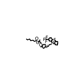 CCCCCCC(=O)OC(C)COC1(C)CCN(CCCN2c3ccccc3Sc3ccc(C(F)(F)F)cc32)CC1